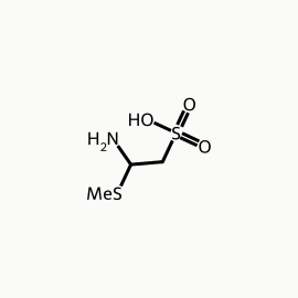 CSC(N)CS(=O)(=O)O